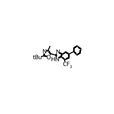 Cc1nc(C(C)(C)C)oc1-c1nc2cc(-c3ccccc3)cc(C(F)(F)F)c2[nH]1